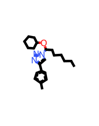 CCCCCCC(OC1CCCCC1)n1cc(-c2ccc(C)cc2)nn1